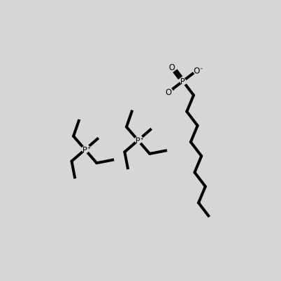 CCCCCCCCCP(=O)([O-])[O-].CC[P+](C)(CC)CC.CC[P+](C)(CC)CC